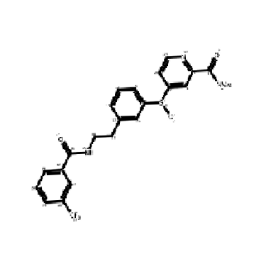 CNC(=O)c1cc([S+]([O-])c2cccc(CCNC(=O)c3cccc(C(F)(F)F)c3)c2)ccn1